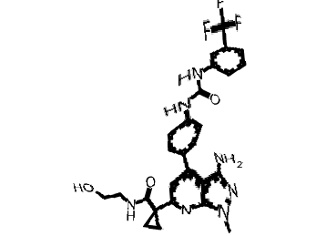 Cn1nc(N)c2c(-c3ccc(NC(=O)Nc4cccc(C(F)(F)F)c4)cc3)cc(C3(C(=O)NCCO)CC3)nc21